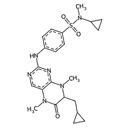 CN1C(=O)C(CC2CC2)N(C)c2nc(Nc3ccc(S(=O)(=O)N(C)C4CC4)cc3)ncc21